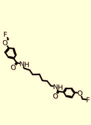 O=C(NCCCCCCCNC(=O)c1ccc(OCF)cc1)c1ccc(OCF)cc1